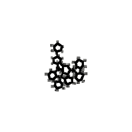 c1ccc(-c2ccc3c(c2)c2cc(-n4c5ccccc5c5ccccc54)cc4c2n3-c2ccccc2[Si]4(c2ccccc2)c2ccccc2)cc1